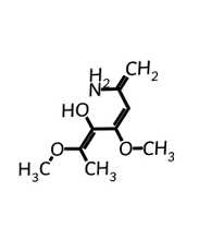 C=C(N)/C=C(OC)\C(O)=C(/C)OC